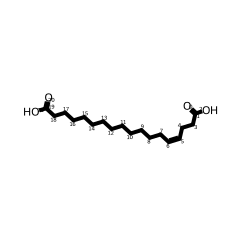 O=C(O)CC/C=C\CCCCCCCCCCCCC(=O)O